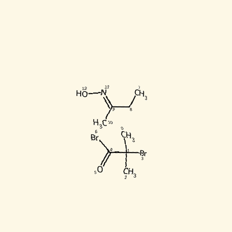 CC(C)(Br)C(=O)Br.CCC(C)=NO